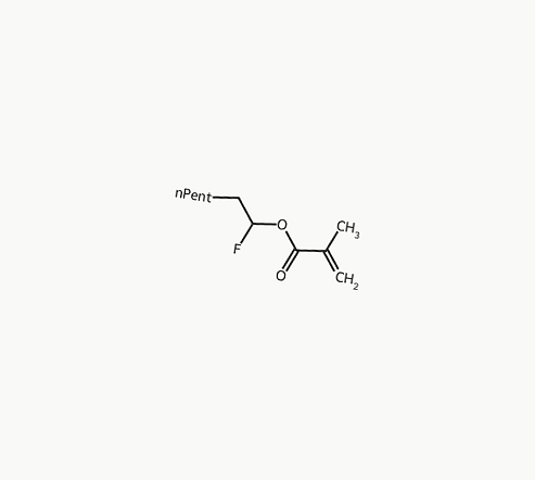 C=C(C)C(=O)OC(F)CCCCCC